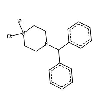 CC[N+]1(C(C)C)CCN(C(c2ccccc2)c2ccccc2)CC1